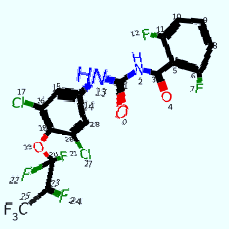 O=C(NC(=O)c1c(F)cccc1F)Nc1cc(Cl)c(OC(F)(F)C(F)C(F)(F)F)c(Cl)c1